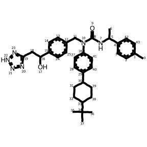 Cc1ccc(C(C)NC(=O)N(Cc2ccc(C(O)Cc3nn[nH]n3)cc2)c2ccc(C3CCC(C(C)(C)C)CC3)cc2)cc1